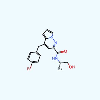 CCC(CO)NC(=O)c1cc(Cc2ccc(Br)cc2)c2cccn2n1